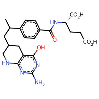 CC(CC1CNc2nc(N)nc(O)c2C1)c1ccc(C(=O)N[C@@H](CCC(=O)O)C(=O)O)cc1